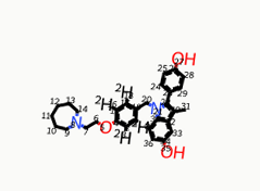 [2H]c1c([2H])c(OCCN2CCCCCC2)c([2H])c([2H])c1Cn1c(-c2ccc(O)cc2)c(C)c2cc(O)ccc21